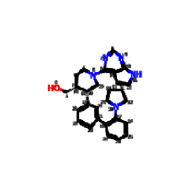 OC[C@@H]1CCN(c2ncnc3[nH]ccc23)C[C@@H]1c1cccc(-c2ccc[c]c2N2CCCC2)c1